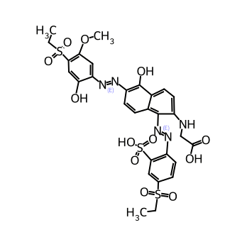 CCS(=O)(=O)c1ccc(/N=N/c2c(NCC(=O)O)ccc3c(O)c(/N=N/c4cc(OC)c(S(=O)(=O)CC)cc4O)ccc23)c(S(=O)(=O)O)c1